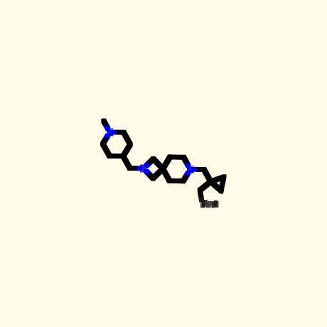 CCCC(C)CC1(CN2CCC3(CC2)CN(CC2CCN(C)CC2)C3)CC1